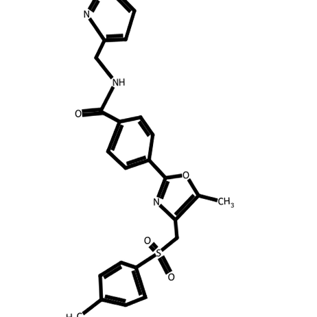 Cc1ccc(S(=O)(=O)Cc2nc(-c3ccc(C(=O)NCc4ccccn4)cc3)oc2C)cc1